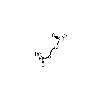 O=[PH](O)OCO[SH](=O)=O